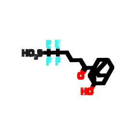 O=C(CCCC(F)(F)C(F)(F)S(=O)(=O)O)C12CC3CC(CC(O)(C3)C1)C2